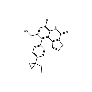 CCC1(c2ccc(-c3c(CO)cc(Br)c4[nH]c(=O)c5sccc5c34)cc2)CC1